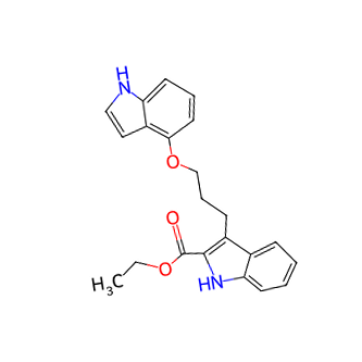 CCOC(=O)c1[nH]c2ccccc2c1CCCOc1cccc2[nH]ccc12